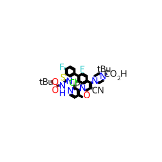 Cc1ccnc(C(C)C)c1-n1c(=O)c(C#N)c(N2CCN(C(=O)O)C(C(C)(C)C)C2)c2cc(F)c(-c3ccc(F)c4sc(NC(=O)OC(C)(C)C)nc34)c(Cl)c21